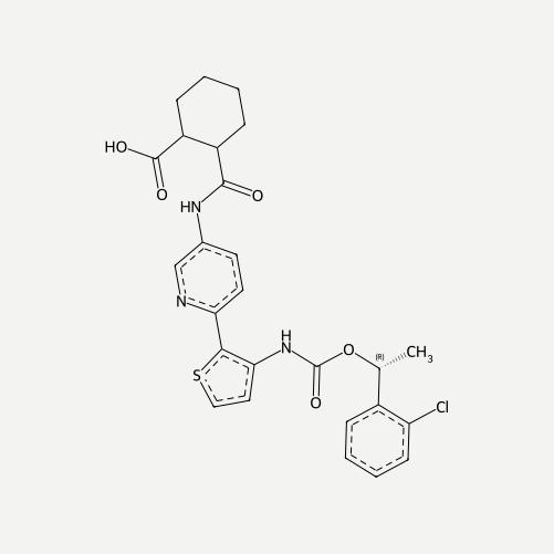 C[C@@H](OC(=O)Nc1ccsc1-c1ccc(NC(=O)C2CCCCC2C(=O)O)cn1)c1ccccc1Cl